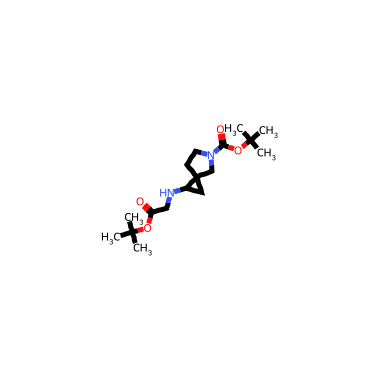 CC(C)(C)OC(=O)CNC1CC12CCN(C(=O)OC(C)(C)C)C2